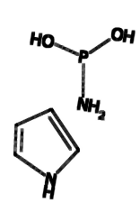 NP(O)O.c1cc[nH]c1